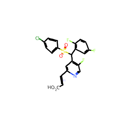 O=C(O)/C=C/c1cc(C(c2cc(F)ccc2F)S(=O)(=O)c2ccc(Cl)cc2)c(F)cn1